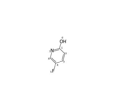 Oc1[c]cc(F)cn1